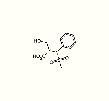 CS(=O)(=O)N(c1ccccc1)[C@@H](CO)C(=O)O